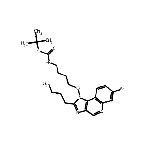 CCCCc1nc2cnc3cc(Br)ccc3c2n1OCCCCNC(=O)OC(C)(C)C